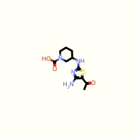 CC(=O)c1sc(NC2CCCN(C(=O)O)C2)nc1N